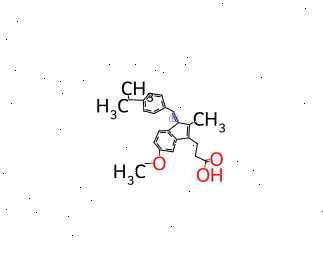 CCOc1ccc2c(c1)C(CCC(=O)O)=C(C)/C2=C/c1ccc(C(C)C)cc1